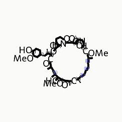 COC1C[C@@H]2CC[C@@H](C)[C@@](O)(O2)C(=O)C(=O)N2CCCC[C@H]2C(=O)O[C@H]([C@H](C)C[C@@H]2CC[C@@H](O)C(OC)C2)CC(=O)C(C)/C=C(\C)C(O)[C@@H](OC)C(=O)[C@H](C)C[C@H](C)/C=C/C=C/C=C/1C